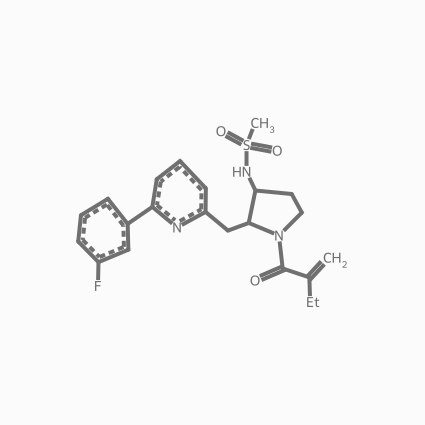 C=C(CC)C(=O)N1CCC(NS(C)(=O)=O)C1Cc1cccc(-c2cccc(F)c2)n1